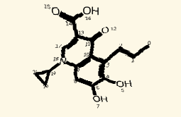 CCCc1c(O)c(O)cc2c1c(=O)c(C(=O)O)cn2C1CC1